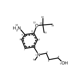 CN(CCCO)c1ccc(N)c(OC(C)(C)C)c1